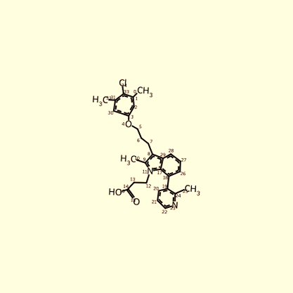 Cc1cc(OCCCc2c(C)n(CCC(=O)O)c3c(-c4cccnc4C)cccc23)cc(C)c1Cl